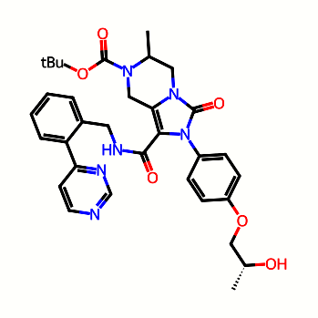 CC1Cn2c(c(C(=O)NCc3ccccc3-c3ccncn3)n(-c3ccc(OC[C@@H](C)O)cc3)c2=O)CN1C(=O)OC(C)(C)C